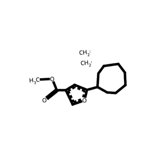 COC(=O)c1coc([C]2CCCCCCC2)c1.[CH2].[CH2]